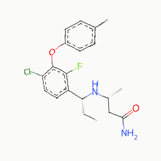 CC[C@@H](N[C@H](C)CC(N)=O)c1ccc(Cl)c(Oc2ccc(C)cc2)c1F